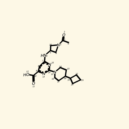 CC(=O)N1CC(Nc2cc(C(=O)O)nc(N3CCC(C4CCC4)CC3)n2)C1